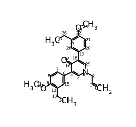 C=CCn1cc(-c2ccc(OC)c(CC)c2)c(=O)c(-c2ccc(OC)c(CC)c2)c1